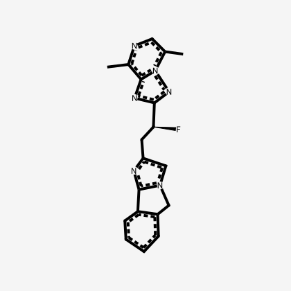 Cc1ncc(C)n2nc([C@@H](F)Cc3cn4c(n3)-c3ccccc3C4)nc12